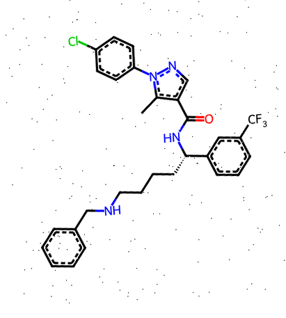 Cc1c(C(=O)N[C@@H](CCCCNCc2ccccc2)c2cccc(C(F)(F)F)c2)cnn1-c1ccc(Cl)cc1